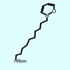 CCCCCCCCCCCCCCCCCCCN1C=CC=CO1